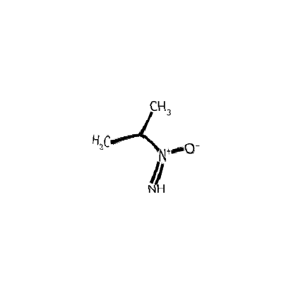 CC(C)[N+](=N)[O-]